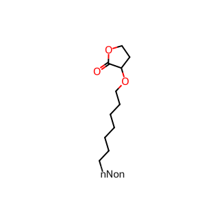 CCCCCCCCCCCCCCCCOC1CCOC1=O